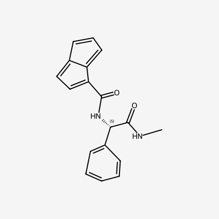 CNC(=O)[C@@H](NC(=O)C1=CC=C2C=CC=C21)c1ccccc1